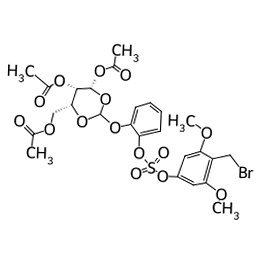 COc1cc(OS(=O)(=O)Oc2ccccc2OC2O[C@@H](OC(C)=O)[C@@H](OC(C)=O)[C@@H](COC(C)=O)O2)cc(OC)c1CBr